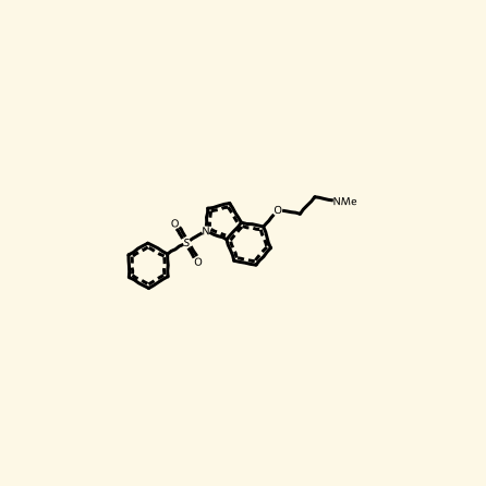 CNCCOc1cccc2c1ccn2S(=O)(=O)c1ccccc1